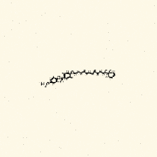 Cc1ccc(OC(=O)c2ccc(OCCCCCCCCCCCOC3CCCCO3)cc2)cc1